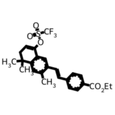 CCOC(=O)c1ccc(C=Cc2cc3c(cc2C)C(C)(C)CC=C3OS(=O)(=O)C(F)(F)F)cc1